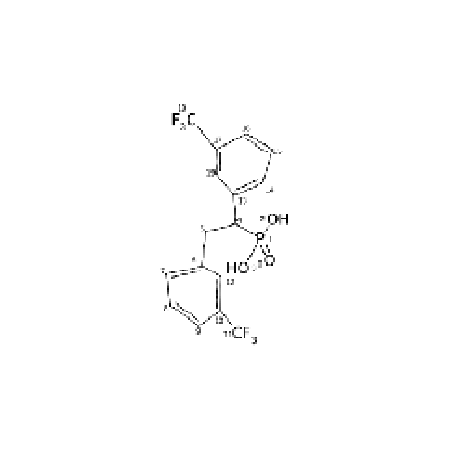 O=P(O)(O)C(Cc1cccc(C(F)(F)F)c1)c1cccc(C(F)(F)F)c1